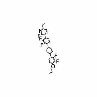 C=CCOc1ccc(-c2ccc(-c3ccc(-c4ccc(C=C)nc4F)c(F)c3F)cc2)c(F)c1F